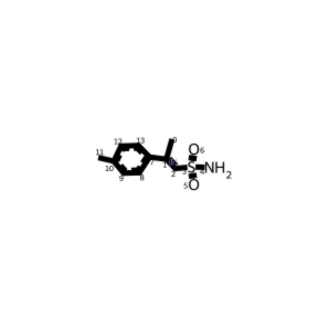 C/C(=C\S(N)(=O)=O)c1ccc(C)cc1